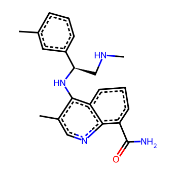 CNC[C@@H](Nc1c(C)cnc2c(C(N)=O)cccc12)c1cccc(C)c1